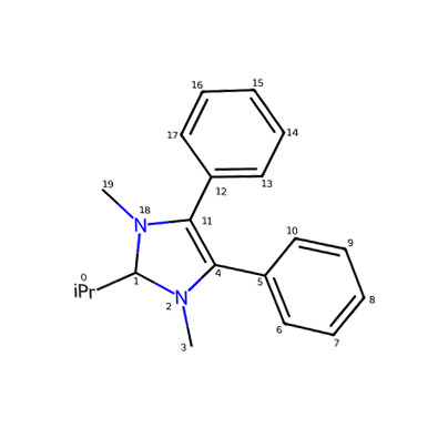 CC(C)C1N(C)C(c2ccccc2)=C(c2ccccc2)N1C